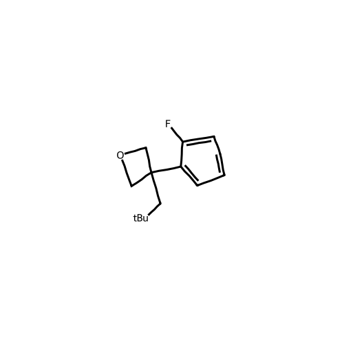 CC(C)(C)CC1(c2ccccc2F)COC1